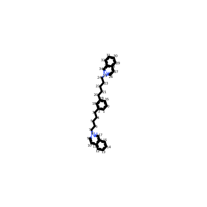 c1cc(CCCCC[n+]2ccc3ccccc3c2)cc(CCCCC[n+]2ccc3ccccc3c2)c1